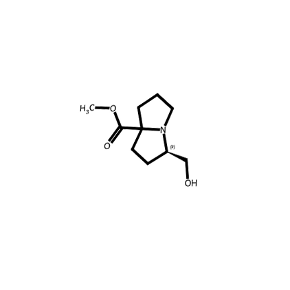 COC(=O)C12CCCN1[C@@H](CO)CC2